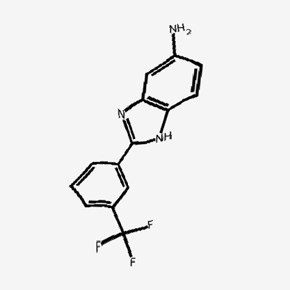 Nc1ccc2[nH]c(-c3cccc(C(F)(F)F)c3)nc2c1